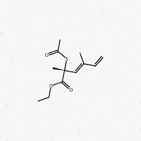 C=C/C(C)=C/[C@@](C)(SC(C)=O)C(=O)OCC